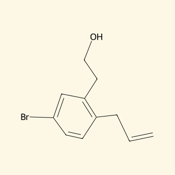 C=CCc1ccc(Br)cc1CCO